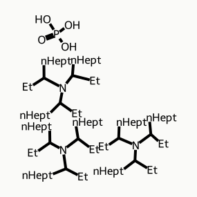 CCCCCCCC(CC)N(C(CC)CCCCCCC)C(CC)CCCCCCC.CCCCCCCC(CC)N(C(CC)CCCCCCC)C(CC)CCCCCCC.CCCCCCCC(CC)N(C(CC)CCCCCCC)C(CC)CCCCCCC.O=P(O)(O)O